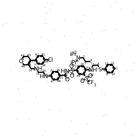 CC(C)N(CCC[C@H](CSc1ccccc1)Nc1ccc(S(=O)(=O)NC(=O)c2ccc(NCCNCC3=C(c4ccc(Cl)cc4)CCOC3)cc2)cc1S(=O)(=O)C(F)(F)F)C(C)C